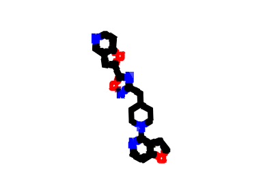 c1cc2oc(-c3nc(CC4CCN(c5nccc6occc56)CC4)no3)cc2cn1